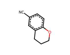 N#Cc1ccc2c(c1)CCCO2